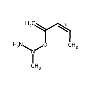 C=C(/C=C\C)ON(C)N